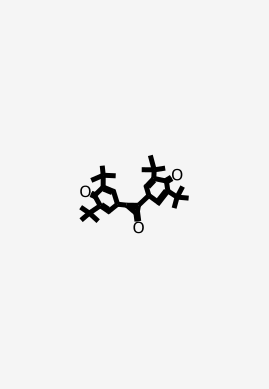 CC(C)(C)C1=CC(c2c(C3C=C(C(C)(C)C)C(=O)C(C(C)(C)C)=C3)c2=O)C=C(C(C)(C)C)C1=O